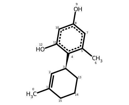 CC1=C[C@@H](c2c(C)cc(O)cc2O)CCC1